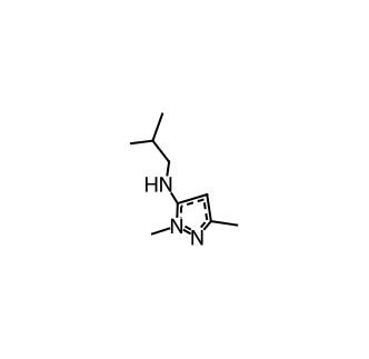 Cc1cc(NCC(C)C)n(C)n1